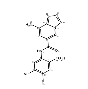 N#Cc1cc(NC(=O)c2cc(N)c3nnnn3n2)c(C(=O)O)cc1F